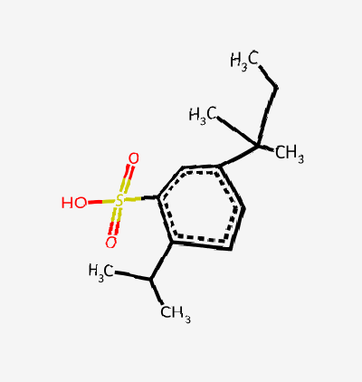 CCC(C)(C)c1ccc(C(C)C)c(S(=O)(=O)O)c1